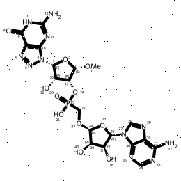 CO[C@H]1O[C@@H](n2nnc3c(=O)[nH]c(N)nc32)[C@@H](O)[C@H]1OP(=O)(O)CO[C@H]1O[C@@H](n2cnc3c(N)ncnc32)[C@@H](O)[C@H]1O